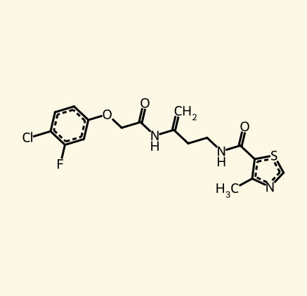 C=C(CCNC(=O)c1scnc1C)NC(=O)COc1ccc(Cl)c(F)c1